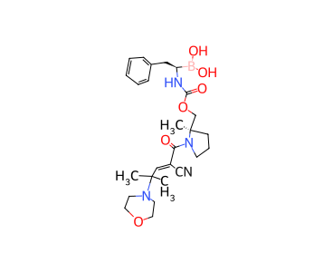 CC(C)(/C=C(\C#N)C(=O)N1CCC[C@]1(C)COC(=O)N[C@@H](Cc1ccccc1)B(O)O)N1CCOCC1